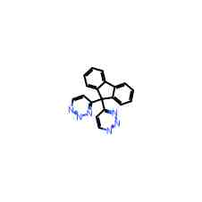 c1ccc2c(c1)-c1ccccc1C2(c1ccnnn1)c1ccnnn1